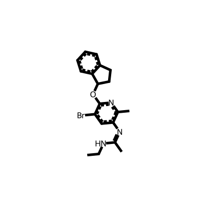 CCNC(C)=Nc1cc(Br)c(OC2CCc3ccccc32)nc1C